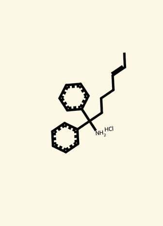 CC=CCCCC(N)(c1ccccc1)c1ccccc1.Cl